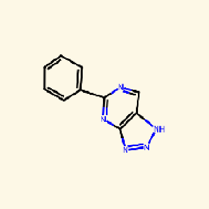 c1ccc(-c2ncc3[nH]nnc3n2)cc1